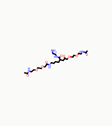 CC(=O)NCCOCCOCC(=O)CC(CCCCNC(=O)COCCOCCNC(C)=O)C(=O)NCCN